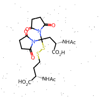 CC(=O)N[C@@H](CCSSC(C[C@H](NC(C)=O)C(=O)O)(N1C(=O)CCC1=O)N1C(=O)CCC1=O)C(=O)O